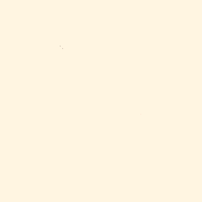 N#CC1=CC(C2=CCCC(C3=CC4=C(C=C(C5=c6oc7c(c6=CCC5)CCC=C7)CC4)CC3)=C2)=CCC1